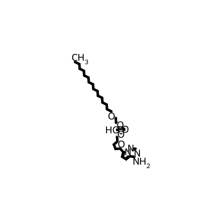 CCCCCCCCCCCCCCCCCOCCOP(=O)(O)OCC1CCC(c2ccc3c(N)ncnn23)O1